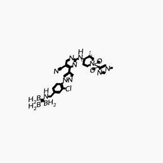 BC(B)(B)NCc1ccc(-n2cc(-c3nc(N[C@H]4CCN(S(=O)(=O)c5cn(C)cn5)C[C@H]4C)ncc3C#N)cn2)c(Cl)c1